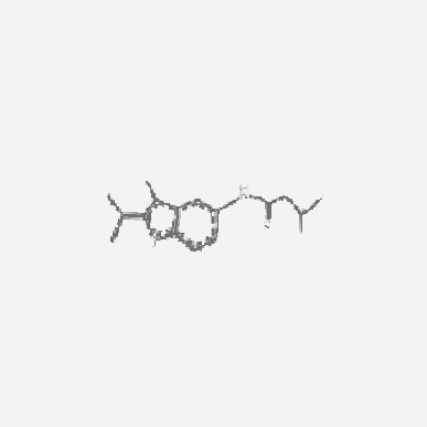 Cc1c(C(C)C)sc2ccc(NC(=O)CC(C)C)cc12